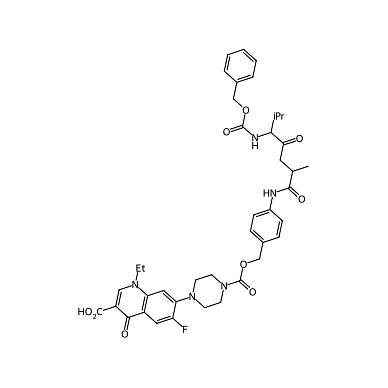 CCn1cc(C(=O)O)c(=O)c2cc(F)c(N3CCN(C(=O)OCc4ccc(NC(=O)C(C)CC(=O)C(NC(=O)OCc5ccccc5)C(C)C)cc4)CC3)cc21